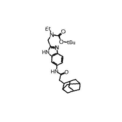 CCN(Cc1nc2ccc(NC(=O)CC3C4CC5CC(C4)CC3C5)cc2[nH]1)C(=O)OC(C)(C)C